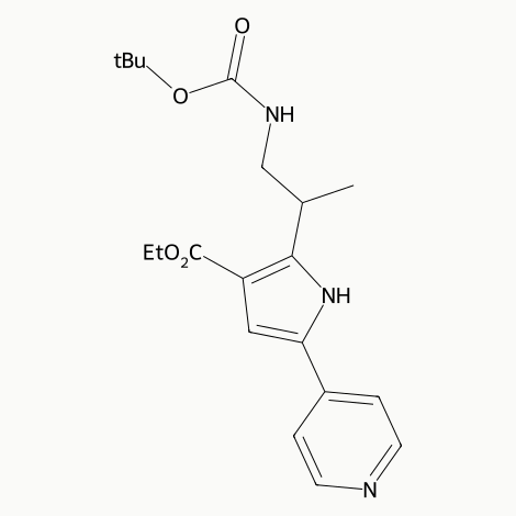 CCOC(=O)c1cc(-c2ccncc2)[nH]c1C(C)CNC(=O)OC(C)(C)C